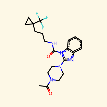 CC(=O)N1CCN(c2nc3ccccc3n2C(=O)NCCCC2(C(F)(F)F)CC2)CC1